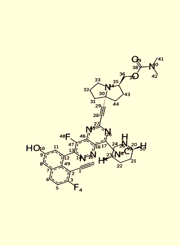 C#Cc1c(F)ccc2cc(O)cc(-c3nnc4c(N5C[C@H]6CC[C@@H]5CN6)nc(C#C[C@]56CCCN5[C@@H](COC(=O)N(C)C)CC6)nc4c3F)c12